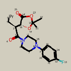 CC(C)C[C@H](C(=O)N1CCN(c2ccc(F)cc2)CC1)[C@H]1OC(C)(C)OC1=O